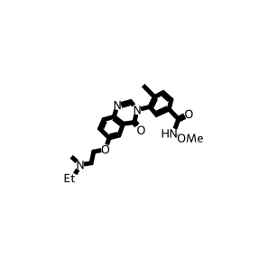 CCN(C)CCOc1ccc2ncn(-c3cc(C(=O)NOC)ccc3C)c(=O)c2c1